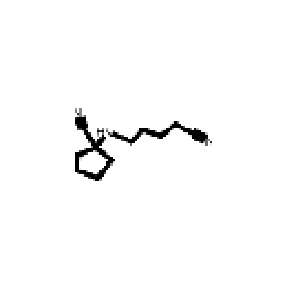 N#CCCCCNC1(C#N)CCCC1